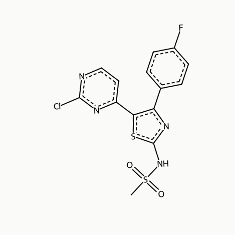 CS(=O)(=O)Nc1nc(-c2ccc(F)cc2)c(-c2ccnc(Cl)n2)s1